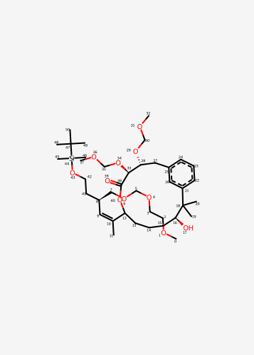 COCCOCOC[C@@H](/C=C(/C)C1CCC[C@H](O)C(C)(C)c2cccc(c2)C[C@@H](OCOC)[C@H](OCOC)C(=O)O1)CCO[Si](C)(C)C(C)(C)C